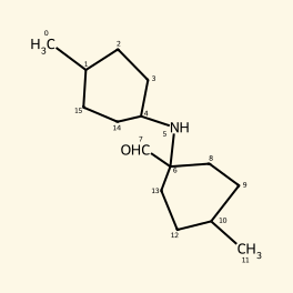 CC1CCC(NC2(C=O)CCC(C)CC2)CC1